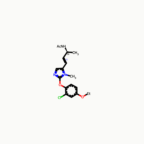 CCOc1ccc(Oc2ncc(/C=C/[C@H](C)NC(C)=O)n2C)c(Cl)c1